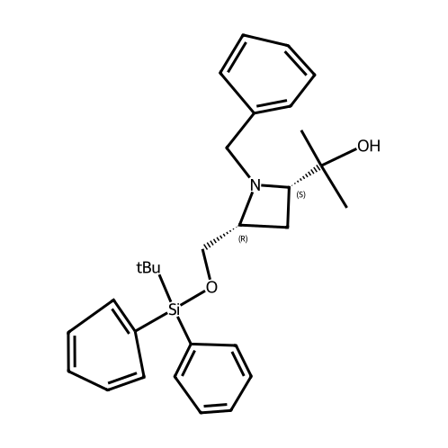 CC(C)(O)[C@@H]1C[C@H](CO[Si](c2ccccc2)(c2ccccc2)C(C)(C)C)N1Cc1ccccc1